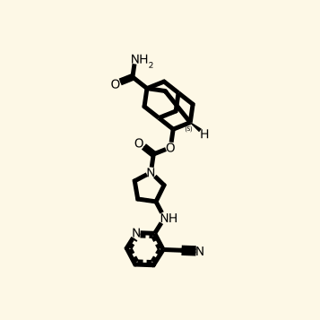 N#Cc1cccnc1NC1CCN(C(=O)OC2C3CC4C[C@H]2CC(C(N)=O)(C4)C3)C1